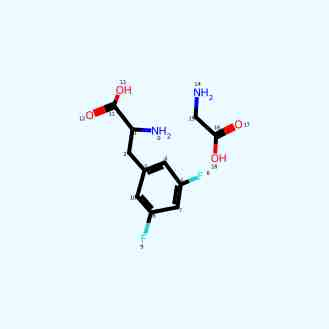 NC(Cc1cc(F)cc(F)c1)C(=O)O.NCC(=O)O